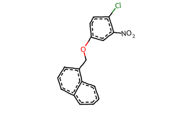 O=[N+]([O-])c1cc(OCc2cccc3ccccc23)ccc1Cl